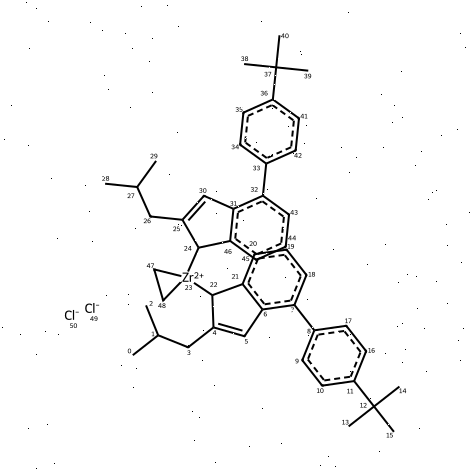 CC(C)CC1=Cc2c(-c3ccc(C(C)(C)C)cc3)cccc2[CH]1[Zr+2]1([CH]2C(CC(C)C)=Cc3c(-c4ccc(C(C)(C)C)cc4)cccc32)[CH2][CH2]1.[Cl-].[Cl-]